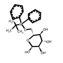 CC(C)(C)[Si](OC[C@H]1O[C@H](O)[C@H](O)[C@@H](O)[C@@H]1O)(c1ccccc1)c1ccccc1